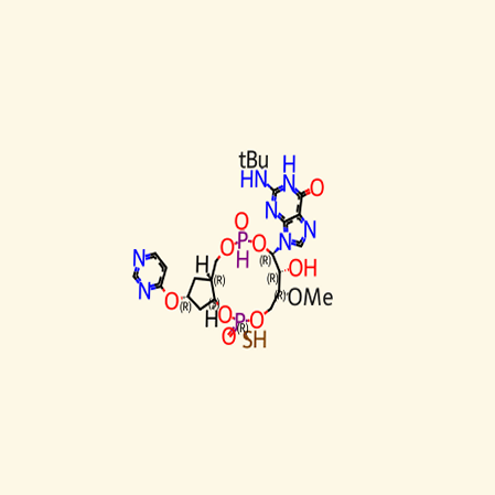 CO[C@@H]1CO[P@@](=O)(S)O[C@H]2C[C@H](Oc3ccncn3)C[C@@H]2CO[PH](=O)O[C@@H](n2cnc3c(=O)[nH]c(NC(C)(C)C)nc32)[C@@H]1O